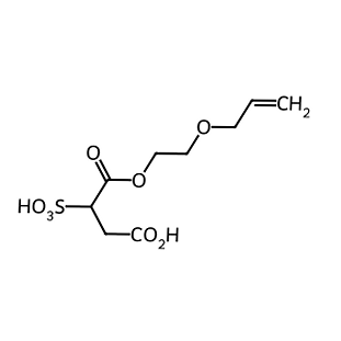 C=CCOCCOC(=O)C(CC(=O)O)S(=O)(=O)O